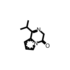 CC(C)C1=NCC(=O)n2cccc21